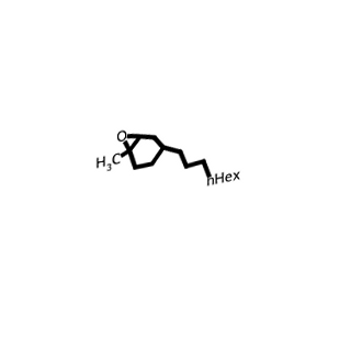 CCCCCCCCCC1CCC2(C)OC2C1